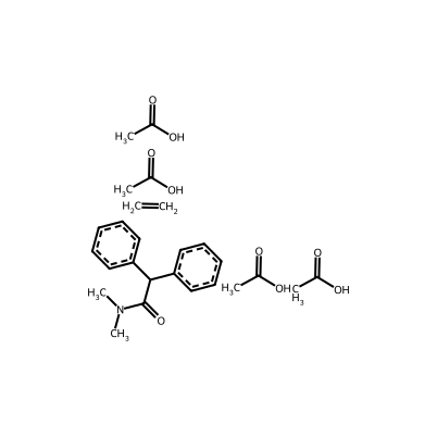 C=C.CC(=O)O.CC(=O)O.CC(=O)O.CC(=O)O.CN(C)C(=O)C(c1ccccc1)c1ccccc1